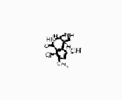 Cc1ccc2c(c1Cl)C(=O)N[C@@H]1CNC[C@@H]21.Cl